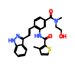 Cc1ccsc1C(=O)Nc1cc(C(=O)N(C)CCO)ccc1/C=C/c1n[nH]c2ccccc12